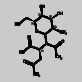 CC(=O)N(C1O[C@H](CO)[C@@H](O)[C@H](O)[C@H]1N)[C@@H](CC(N)=O)C(=O)O